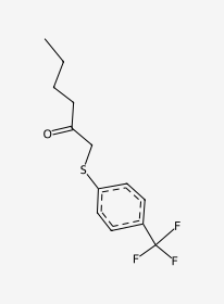 CCCCC(=O)CSc1ccc(C(F)(F)F)cc1